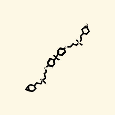 CC(C)(c1ccc(OCCC[Si](C)(C)CCC2CCC3CC3C2)cc1)c1ccc(OCCC[Si](C)(C)CCC2CCC3OC3C2)cc1